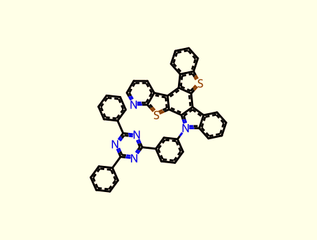 c1ccc(-c2nc(-c3ccccc3)nc(-c3cccc(-n4c5ccccc5c5c6sc7ccccc7c6c6c7cccnc7sc6c54)c3)n2)cc1